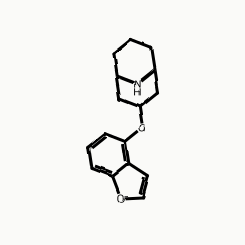 c1cc(OC2CC3CCCC(C2)N3)c2ccoc2c1